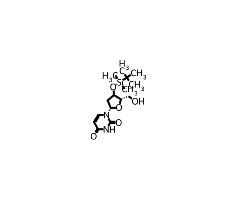 CC(C)(C)[Si](C)(C)OC1C[C@@H](n2ccc(=O)[nH]c2=O)O[C@H]1CO